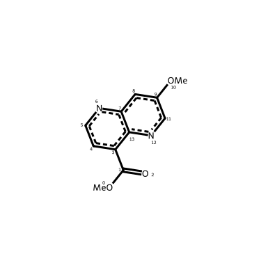 COC(=O)c1ccnc2cc(OC)cnc12